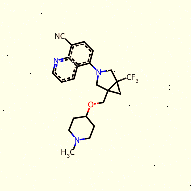 CN1CCC(OCC23CN(c4ccc(C#N)c5ncccc45)CC2(C(F)(F)F)C3)CC1